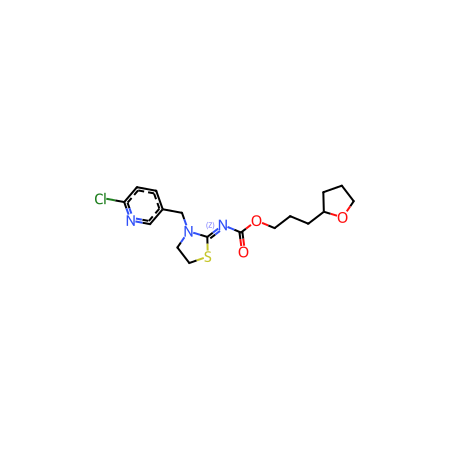 O=C(/N=C1\SCCN1Cc1ccc(Cl)nc1)OCCCC1CCCO1